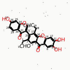 O=CCc1cc2c(=O)c3cc(O)c(O)cc3oc2c(CC=O)c1-c1coc2cc(O)ccc2c1=O